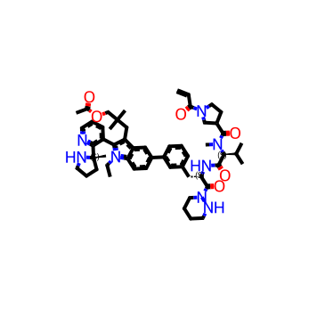 C=CC(=O)N1CCC(C(=O)N(C)[C@H](C(=O)N[C@@H](Cc2cccc(-c3ccc4c(c3)c(CC(C)(C)COC(C)=O)c(-c3cccnc3[C@]3(C)CCCN3)n4CC)c2)C(=O)N2CCCCN2)C(C)C)C1